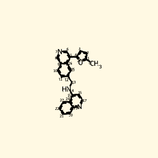 Cc1ccc(-c2cncc3ccc(CNc4ccnc5ccccc45)cc23)o1